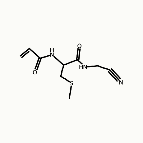 C=CC(=O)NC(CSC)C(=O)NCC#N